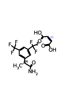 C[C@@H](C(N)=O)c1cc(C(F)(F)F)cc(C(F)(F)F)c1.O=C(O)/C=C\C(=O)O